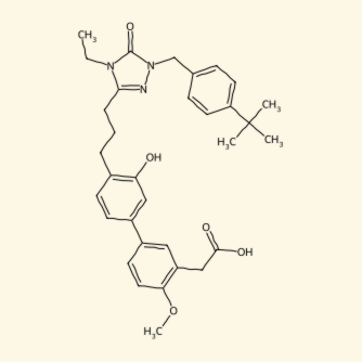 CCn1c(CCCc2ccc(-c3ccc(OC)c(CC(=O)O)c3)cc2O)nn(Cc2ccc(C(C)(C)C)cc2)c1=O